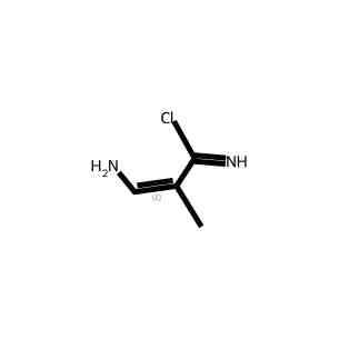 C/C(=C/N)C(=N)Cl